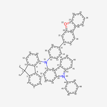 CC1(C)c2ccccc2-c2c(N(c3ccc(-c4ccc5c(c4)oc4ccccc45)cc3)c3cccc4c3c3ccccc3n4-c3ccccc3)cccc21